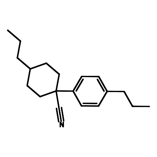 CCCc1ccc(C2(C#N)CCC(CCC)CC2)cc1